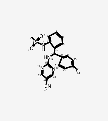 CS(=O)(=O)Nc1ccccc1C(Nc1ncc(C#N)cn1)c1ccc(F)cc1